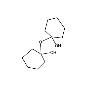 OC1(OC2(O)CCCCC2)CCCCC1